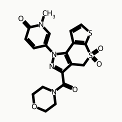 Cn1cc(-n2nc(C(=O)N3CCOCC3)c3c2-c2ccsc2S(=O)(=O)C3)ccc1=O